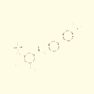 CS(=O)(=O)Nc1cc(C(=O)Nc2ccc(-c3ccc(C(F)(F)F)cc3)cc2)cc(O)c1O